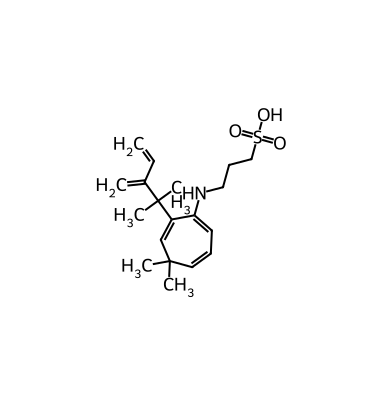 C=CC(=C)C(C)(C)C1=CC(C)(C)C=CC=C1NCCCS(=O)(=O)O